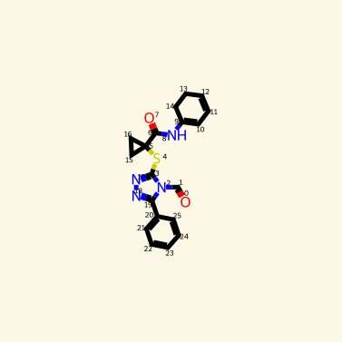 O=Cn1c(SC2(C(=O)NC3=CC=CCC3)CC2)nnc1-c1ccccc1